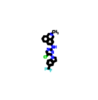 CN1Cc2cc(Nc3ncc(Cl)c(N4CCc5cc(C(F)F)ccc54)n3)cc3c2C(CCC3)C1